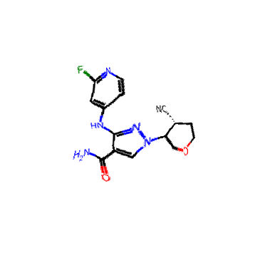 N#C[C@@H]1CCOCC1n1cc(C(N)=O)c(Nc2ccnc(F)c2)n1